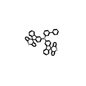 c1ccc(-c2cccc(N(c3ccc4c(c3)-c3ccccc3C43c4ccccc4Sc4ccccc43)c3ccc4c(c3)-c3ccccc3C43c4ccccc4Sc4ccccc43)c2)cc1